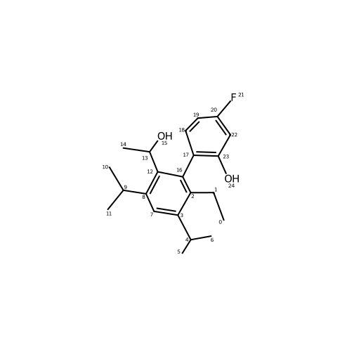 CCc1c(C(C)C)cc(C(C)C)c(C(C)O)c1-c1ccc(F)cc1O